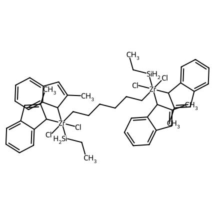 CC[SiH2][Zr]([Cl])([Cl])([CH2]CCCC[CH2][Zr]([Cl])([Cl])([SiH2]CC)([CH]1C(C)=Cc2ccccc21)[CH]1C(C)=Cc2ccccc21)([CH]1C(C)=Cc2ccccc21)[CH]1C(C)=Cc2ccccc21